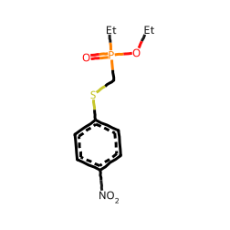 CCOP(=O)(CC)CSc1ccc([N+](=O)[O-])cc1